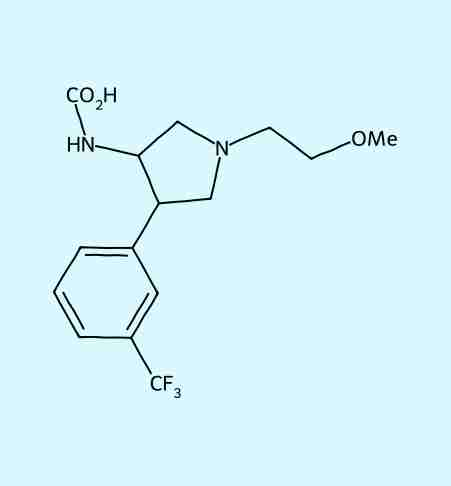 COCCN1CC(NC(=O)O)C(c2cccc(C(F)(F)F)c2)C1